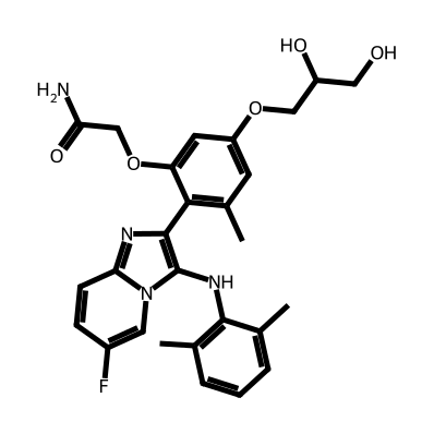 Cc1cccc(C)c1Nc1c(-c2c(C)cc(OCC(O)CO)cc2OCC(N)=O)nc2ccc(F)cn12